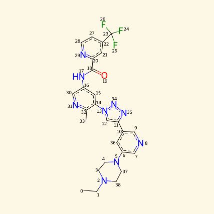 CCN1CCN(c2cncc(-c3cn(-c4cc(NC(=O)c5cc(C(F)(F)F)ccn5)cnc4C)nn3)c2)CC1